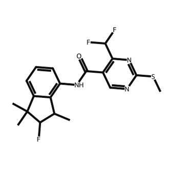 CSc1ncc(C(=O)Nc2cccc3c2C(C)C(F)C3(C)C)c(C(F)F)n1